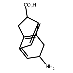 NC1C=C2C=C3C(=C2CC3C(=O)O)C1